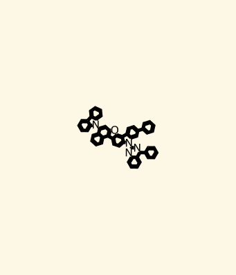 c1ccc(-c2ccc3c4c5oc6cc(-n7c8ccccc8c8ccccc87)c7ccccc7c6c5ccc4n(-c4nc(-c5ccccc5)c5ccccc5n4)c3c2)cc1